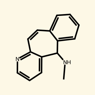 CNC1c2ccccc2C=Cc2ncccc21